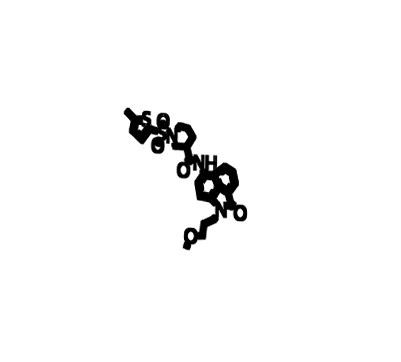 COCCCN1C(=O)c2cccc3c(NC(=O)C4CCCN(S(=O)(=O)c5ccc(C)s5)C4)ccc1c23